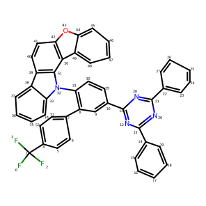 FC(F)(F)c1ccc(-c2cc(-c3nc(-c4ccccc4)nc(-c4ccccc4)n3)ccc2-n2c3ccccc3c3ccc4oc5ccccc5c4c32)cc1